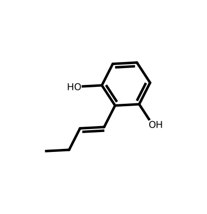 CCC=Cc1c(O)cccc1O